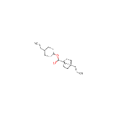 N#CCCC1CCC(OC(=O)C23CCC(CCC#N)(CC2)CC3)CC1